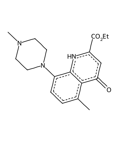 CCOC(=O)c1cc(=O)c2c(C)ccc(N3CCN(C)CC3)c2[nH]1